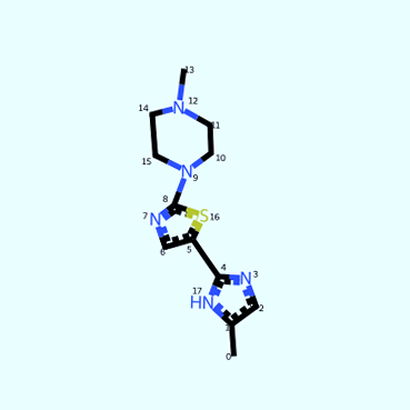 Cc1cnc(-c2cnc(N3CCN(C)CC3)s2)[nH]1